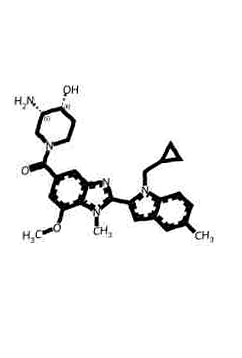 COc1cc(C(=O)N2CC[C@@H](O)[C@@H](N)C2)cc2nc(-c3cc4cc(C)ccc4n3CC3CC3)n(C)c12